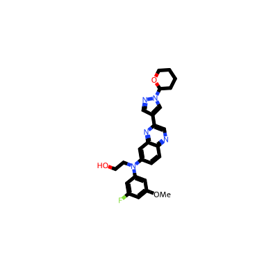 COc1cc(F)cc(N(CCO)c2ccc3ncc(-c4cnn(C5CCCCO5)c4)nc3c2)c1